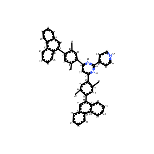 Cc1cc(-c2cc3ccccc3c3ccccc23)c(C)cc1-c1cc(-c2cc(C)c(-c3cc4ccccc4c4ccccc34)cc2C)nc(-c2ccncc2)n1